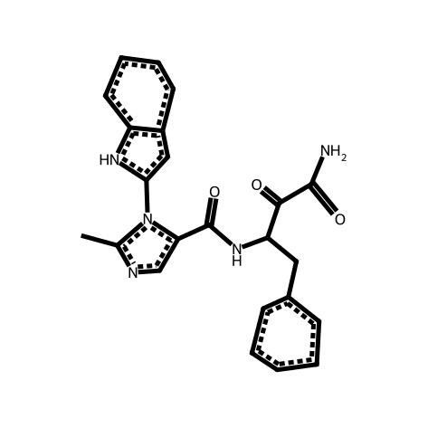 Cc1ncc(C(=O)NC(Cc2ccccc2)C(=O)C(N)=O)n1-c1cc2ccccc2[nH]1